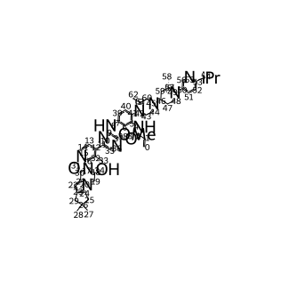 C=CC(=O)Nc1cc(Nc2nc(-c3ccnc(N4CCn5c(cc6c5CC(C)(C)C6)C4=O)c3CO)cnc2OC)ccc1N1CCN(C2CCN(c3ccc(C(C)C)nc3)[C@@H](C)C2)C[C@@H]1C